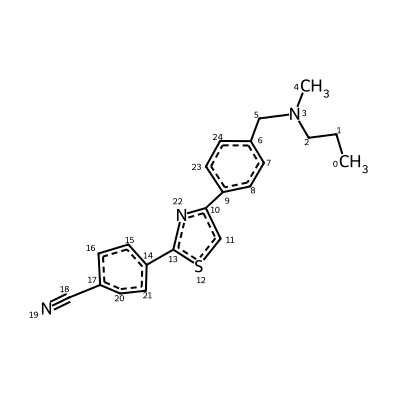 CCCN(C)Cc1ccc(-c2csc(-c3ccc(C#N)cc3)n2)cc1